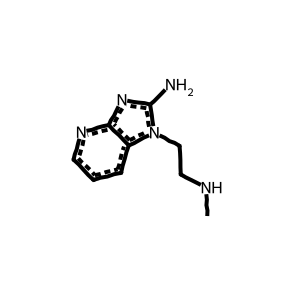 CNCCn1c(N)nc2ncccc21